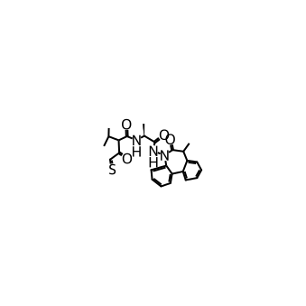 CC1C(=O)N(NC(=O)[C@H](C)NC(=O)C(C(=O)C=S)C(C)C)c2ccccc2-c2ccccc21